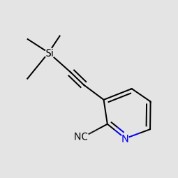 C[Si](C)(C)C#Cc1cccnc1C#N